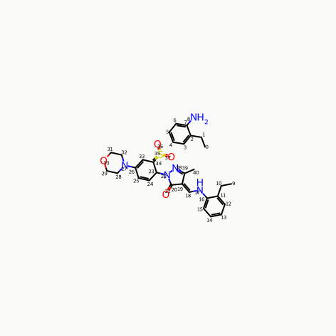 CCc1ccccc1N.CCc1ccccc1NC=C1C(=O)N(C2C=CC(N3CCOCC3)=CC2=S(=O)=O)N=C1C